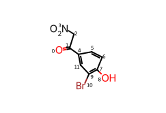 O=C(C[N+](=O)[O-])c1ccc(O)c(Br)c1